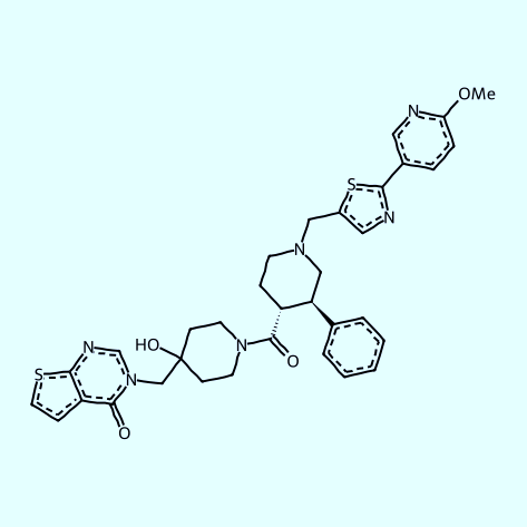 COc1ccc(-c2ncc(CN3CC[C@@H](C(=O)N4CCC(O)(Cn5cnc6sccc6c5=O)CC4)[C@H](c4ccccc4)C3)s2)cn1